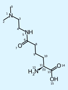 CN(C)CCNC(=O)CCC[C@H](N)C(=O)O